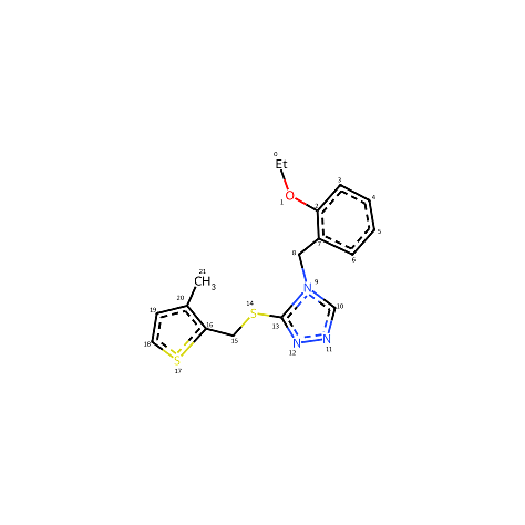 CCOc1ccccc1Cn1cnnc1SCc1sccc1C